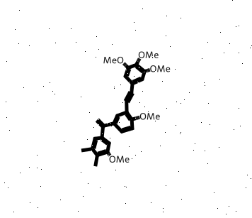 C=C(c1ccc(OC)c(C#Cc2cc(OC)c(OC)c(OC)c2)c1)c1cc(C)c(C)c(OC)c1